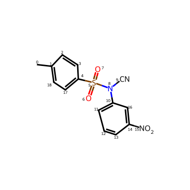 Cc1ccc(S(=O)(=O)N(C#N)c2cccc([N+](=O)[O-])c2)cc1